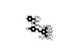 CC(NC(=O)Nc1cc(Cl)ccc1CCc1cc(C(C)(C)C)c(O)c(C(C)(C)C)c1)c1ccccc1